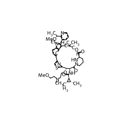 CCn1c(-c2cccnc2[C@H](C)OC)c2c3cc(ccc31)-c1csc(n1)[C@@H](OCCN(C)CCOC)[C@H](NC(=O)[C@H]1[C@H](C)[C@@H]1C)C(=O)N1CCC[C@H](N1)C(=O)OCC(C)(C)C2